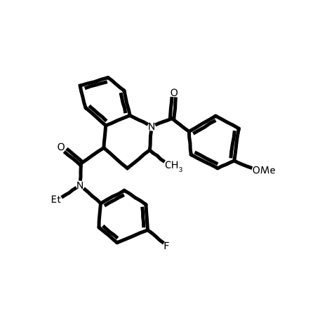 CCN(C(=O)C1CC(C)N(C(=O)c2ccc(OC)cc2)c2ccccc21)c1ccc(F)cc1